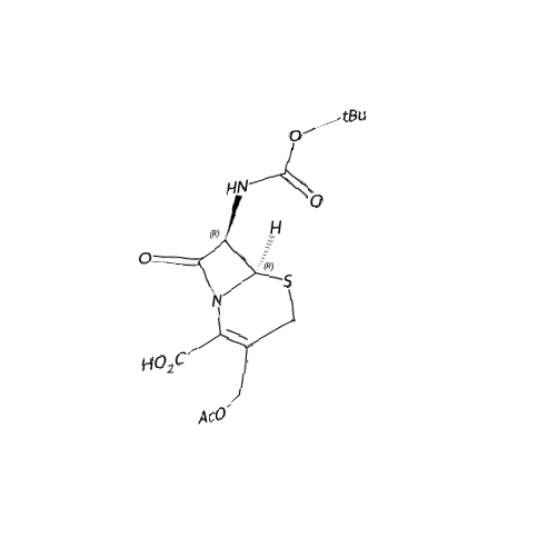 CC(=O)OCC1=C(C(=O)O)N2C(=O)[C@@H](NC(=O)OC(C)(C)C)[C@H]2SC1